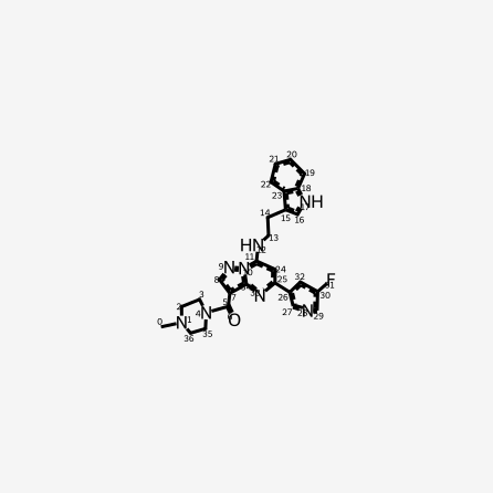 CN1CCN(C(=O)c2cnn3c(NCCc4c[nH]c5ccccc45)cc(-c4cncc(F)c4)nc23)CC1